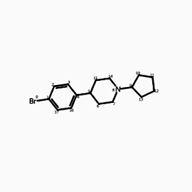 Brc1ccc(C2CCN(C3CCCC3)CC2)cc1